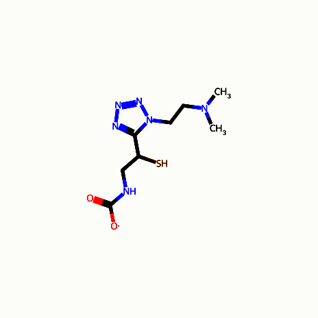 CN(C)CCn1nnnc1C(S)CNC([O])=O